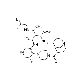 CCC(F)CNC(C)C(C(=O)NC1=C(N2CCN(C(=O)C3CCN4CCCC3C4)CC2)C(F)CNC1)C(N)NC